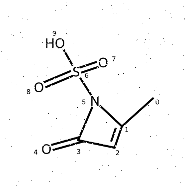 CC1=CC(=O)N1S(=O)(=O)O